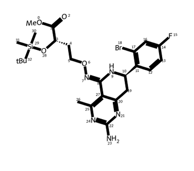 COC(=O)[C@H](CCO/N=C1\N[C@@H](c2ccc(F)cc2Br)Cc2nc(N)nc(C)c21)O[Si](C)(C)C(C)(C)C